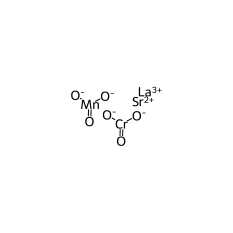 [La+3].[O]=[Cr]([O-])[O-].[O]=[Mn]([O-])[O-].[Sr+2]